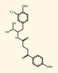 COc1ccc(C(=O)CCC(=O)NC(Cc2ccc(OC)c(C(F)(F)F)c2)B(O)O)cc1